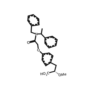 CO[C@@H](Cc1ccc(OCC(=O)N(Cc2ccccc2)C(C)c2ccccc2)cc1)C(=O)O